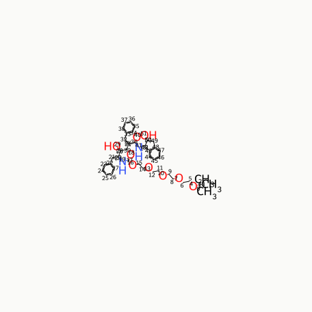 CC(C)(C)OCCOCCOCCOCCOC(=O)N[C@@H](Cc1ccccc1)[C@@H](O)C[C@@H](Cc1ccccc1)C(=O)N[C@H]1c2ccccc2C[C@H]1O